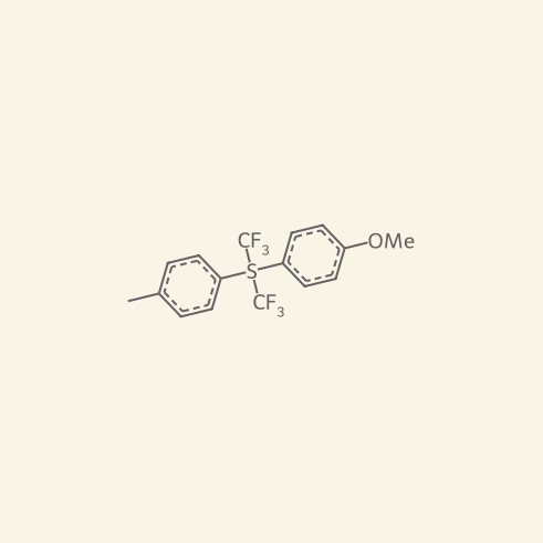 COc1ccc(S(c2ccc(C)cc2)(C(F)(F)F)C(F)(F)F)cc1